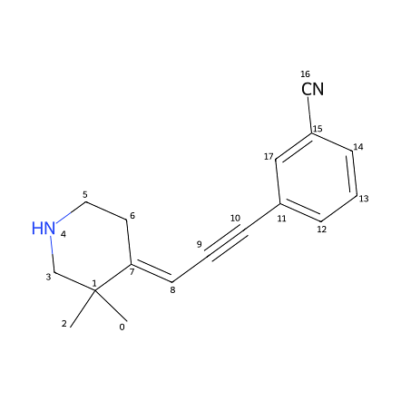 CC1(C)CNCC/C1=C\C#Cc1cccc(C#N)c1